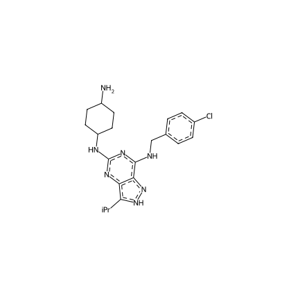 CC(C)c1[nH]nc2c(NCc3ccc(Cl)cc3)nc(NC3CCC(N)CC3)nc12